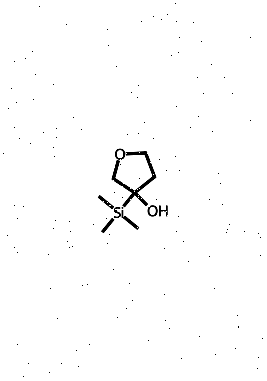 C[Si](C)(C)C1(O)CCOC1